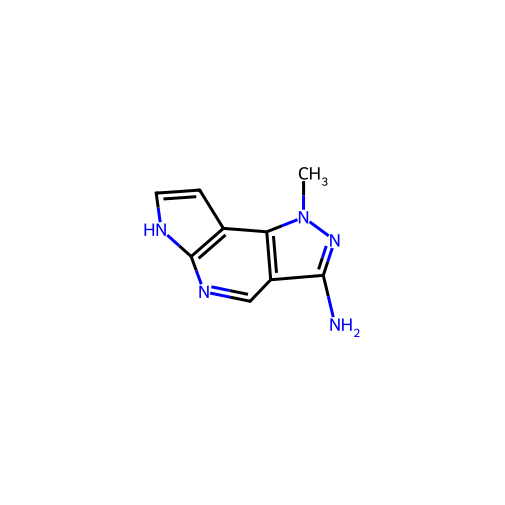 Cn1nc(N)c2cnc3[nH]ccc3c21